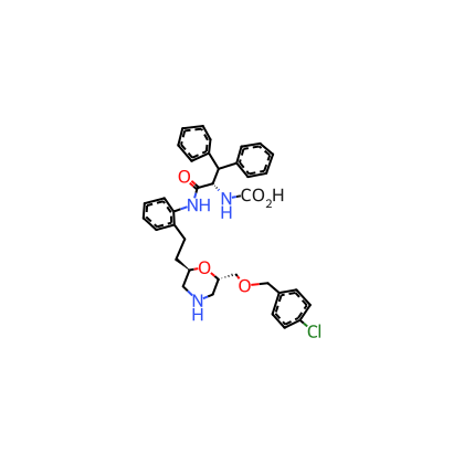 O=C(O)N[C@H](C(=O)Nc1ccccc1CC[C@@H]1CNC[C@@H](COCc2ccc(Cl)cc2)O1)C(c1ccccc1)c1ccccc1